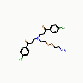 NCCSSCCN(CCC(=S)c1ccc(Cl)cc1)CCC(=S)c1ccc(Cl)cc1